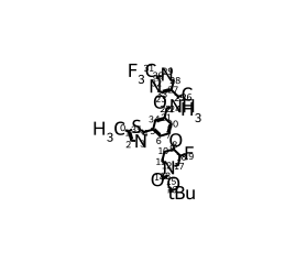 Cc1cnc(-c2cc(OC3CCN(C(=O)OC(C)(C)C)CC3F)cc(C(=O)NC(C)c3cnc(C(F)(F)F)nc3)c2)s1